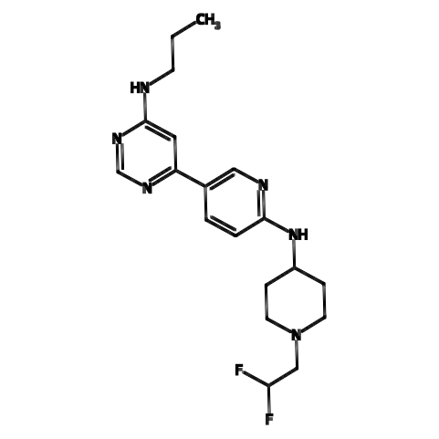 CCCNc1cc(-c2ccc(NC3CCN(CC(F)F)CC3)nc2)ncn1